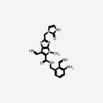 Cn1c(C(=O)NCc2cccc(N)c2C=N)c(C=N)c2sc(Cn3cc[nH]c3=O)nc21